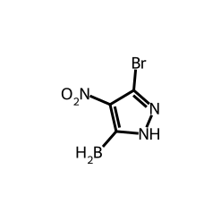 Bc1[nH]nc(Br)c1[N+](=O)[O-]